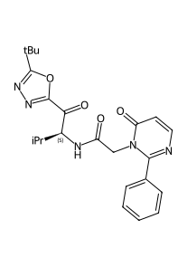 CC(C)[C@H](NC(=O)Cn1c(-c2ccccc2)nccc1=O)C(=O)c1nnc(C(C)(C)C)o1